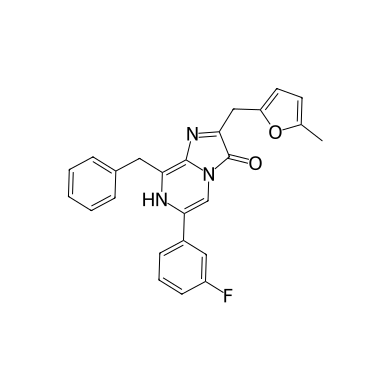 Cc1ccc(Cc2nc3c(Cc4ccccc4)[nH]c(-c4cccc(F)c4)cn-3c2=O)o1